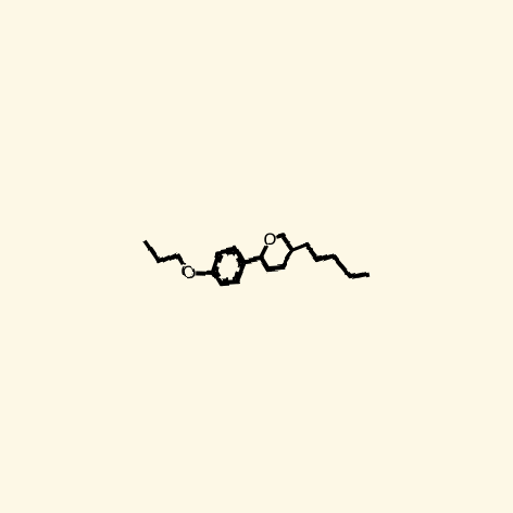 CCCCCC1CCC(c2ccc(OCCC)cc2)OC1